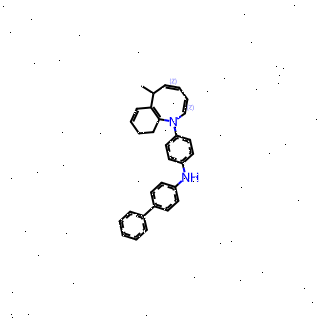 CC1/C=C\C=C/N(c2ccc(Nc3ccc(-c4ccccc4)cc3)cc2)C2=C1C=CCC2